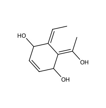 C/C=C1\C(=C(/C)O)C(O)C=CC1O